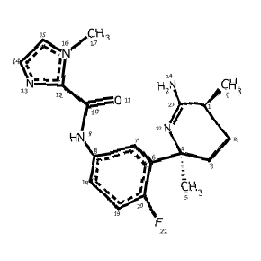 C[C@H]1CC[C@@](C)(c2cc(NC(=O)c3nccn3C)ccc2F)N=C1N